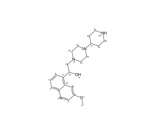 COc1cnc2cccc(C(O)CN3CCN(C4CCNCC4)CC3)c2c1